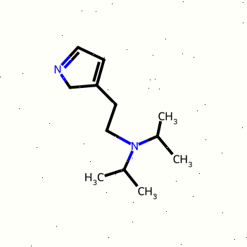 CC(C)N(CCC1=CC=NC1)C(C)C